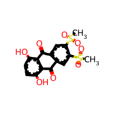 CS(=O)(=O)c1cc2c(cc1S(C)(=O)=O)C(=O)c1c(O)ccc(O)c1C2=O